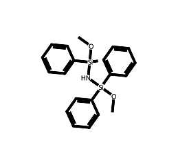 CO[Si](C)(N[Si](OC)(c1ccccc1)c1ccccc1)c1ccccc1